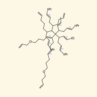 C=CCCCC(C/C=C/CCC)[C](C(C/C=C/CCC)CCC=C)C(/C(=C/CCCOCC=C)CC/C=C/CCCOCCC=C)(C(/C=C/C)C/C=C/CCC)C(/C=C/CC)C/C=C/CCC